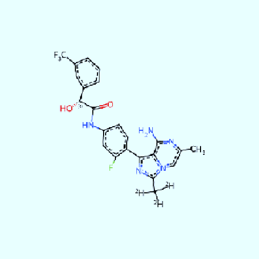 [2H]C([2H])([2H])c1nc(-c2ccc(NC(=O)[C@H](O)c3cccc(C(F)(F)F)c3)cc2F)c2c(N)nc(C)cn12